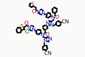 N#Cc1ccc(Cn2cncc2CN(C(=O)c2ccccc2)c2ccc(N3CCN(C(=O)Cc4cccs4)CC3)cc2)cc1.N#Cc1ccc(Cn2cncc2CN(C(=O)c2ccccc2)c2ccc(N3CCN(C(=O)c4sc5ccccc5c4Cl)CC3)cc2)cc1